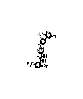 CC(C)c1ccc(C(F)(F)F)cc1NC(=O)Nc1cnc(Oc2ccc(-c3cc(Cl)cnc3N)cc2)nc1